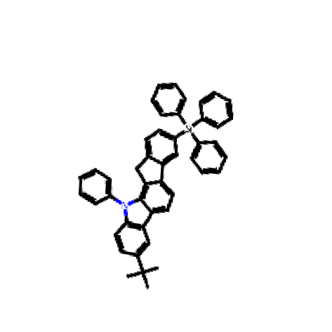 CC(C)(C)c1ccc2c(c1)c1ccc3c(c1n2-c1ccccc1)Cc1ccc([Si](c2ccccc2)(c2ccccc2)c2ccccc2)cc1-3